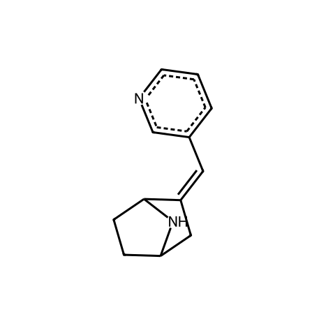 C(=C1\CC2CCC1N2)/c1cccnc1